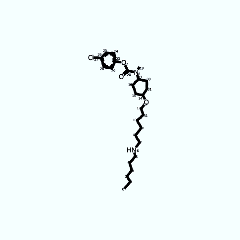 CCCCCCNCCCCCCOC1CCC(N(C)C(=O)Oc2ccc(Cl)cc2)CC1